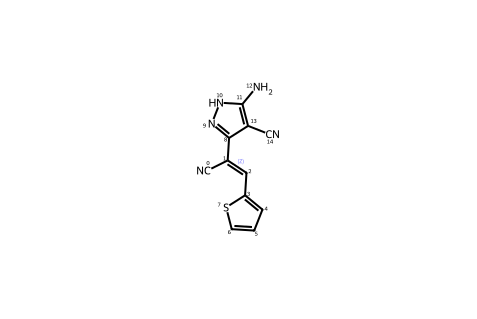 N#C/C(=C\c1cccs1)c1n[nH]c(N)c1C#N